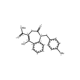 CCCCc1ccc(CN2C(=O)CC(C(=O)OC)=C(O)c3ccccc32)cc1